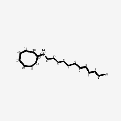 CCCCCCCCCCCCPC1CCCCCCC1